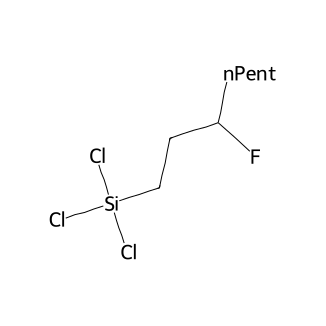 CCCCCC(F)CC[Si](Cl)(Cl)Cl